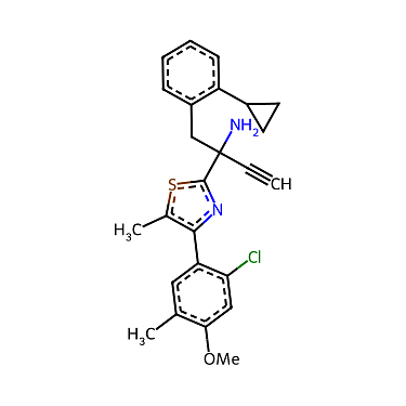 C#CC(N)(Cc1ccccc1C1CC1)c1nc(-c2cc(C)c(OC)cc2Cl)c(C)s1